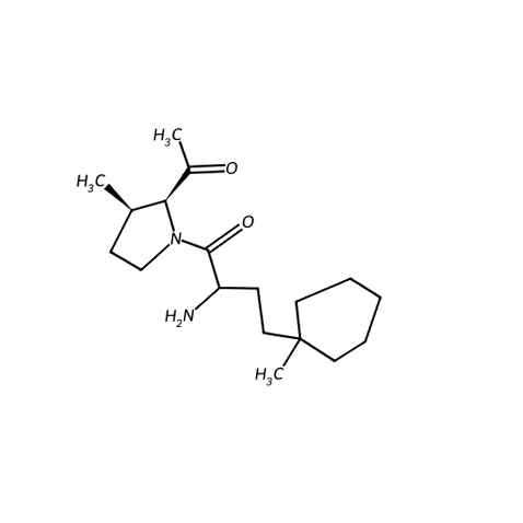 CC(=O)[C@@H]1[C@H](C)CCN1C(=O)C(N)CCC1(C)CCCCC1